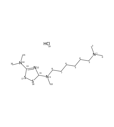 CN(C)CCCCCCN(C)C1N=C(N(C)C)SS1.Cl